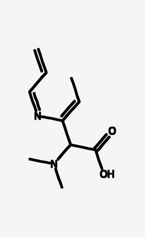 C=C/C=N\C(=C/C)C(C(=O)O)N(C)C